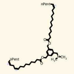 CCCCC/C=C\C/C=C\CCCCCCCC(=O)OCc1cc(COC(=O)CCCCCCCCCC/C=C\CCCCC)cc(CN(C)C)c1